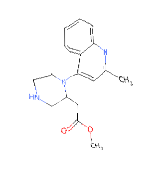 COC(=O)CC1CNCCN1c1cc(C)nc2ccccc12